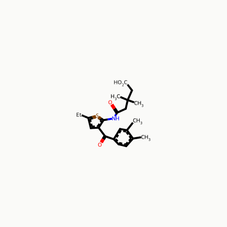 CCc1cc(C(=O)c2ccc(C)c(C)c2)c(NC(=O)CC(C)(C)CC(=O)O)s1